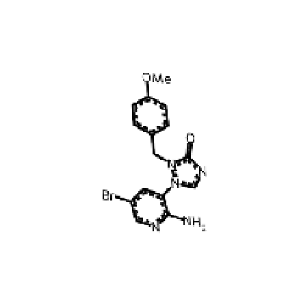 COc1ccc(Cn2c(=O)ncn2-c2cc(Br)cnc2N)cc1